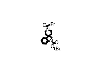 CC(C)C(=O)N1CCC2(CC1)CN(C(=O)OC(C)(C)C)c1ccccc12